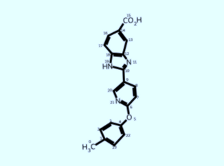 Cc1ccc(Oc2ccc(-c3nc4cc(C(=O)O)ccc4[nH]3)cn2)cc1